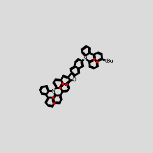 CC(C)(C)c1ccc(-c2ccccc2N(c2ccccc2)c2ccc3cc4c(cc3c2)oc2cc3cc(N(c5ccccc5-c5ccccc5)c5ccccc5-c5ccccc5)ccc3cc24)cc1